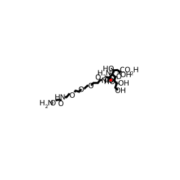 NOCC(=O)NCCOCCOCCOCCC(=O)NCC(=O)[C@@]1(N)[C@@H](O)C[C@@](O)(C(=O)O)O[C@H]1[C@H](O)[C@H](O)CO